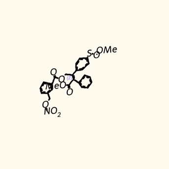 COOSc1ccc(/C(COC(=O)c2cccc(CO[N+](=O)[O-])c2)=C(/C(=O)OC)c2ccccc2)cc1